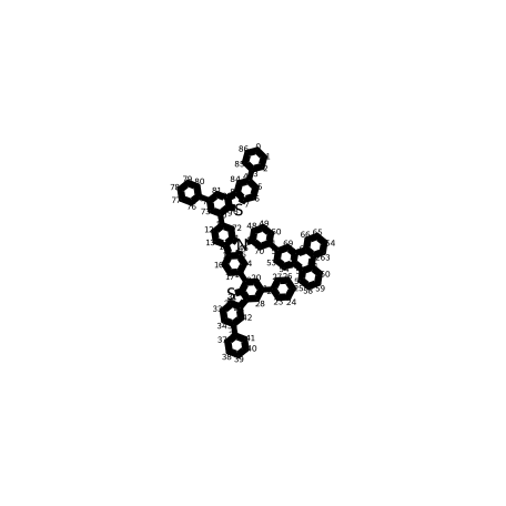 c1ccc(-c2ccc3sc4c(-c5ccc6c7ccc(-c8cc(-c9ccccc9)cc9c8sc8ccc(-c%10ccccc%10)cc89)cc7n(-c7cccc(-c8ccc9c%10ccccc%10c%10ccccc%10c9c8)c7)c6c5)cc(-c5ccccc5)cc4c3c2)cc1